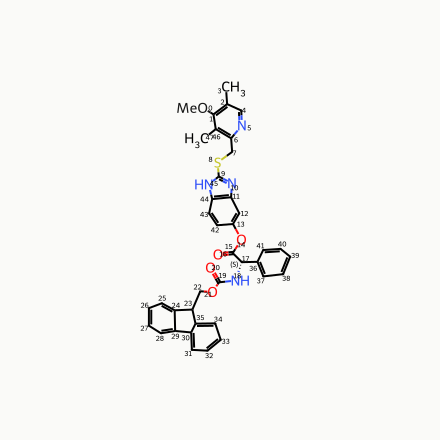 COc1c(C)cnc(CSc2nc3cc(OC(=O)[C@@H](NC(=O)OCC4c5ccccc5-c5ccccc54)c4ccccc4)ccc3[nH]2)c1C